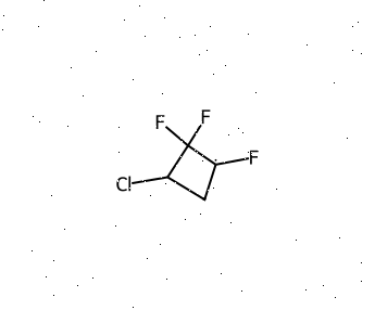 F[C]1CC(Cl)C1(F)F